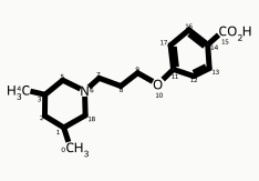 CC1CC(C)CN(CCCOc2ccc(C(=O)O)cc2)C1